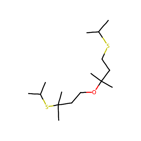 CC(C)SCCC(C)(C)OCCC(C)(C)SC(C)C